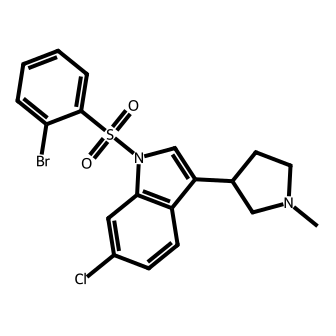 CN1CCC(c2cn(S(=O)(=O)c3ccccc3Br)c3cc(Cl)ccc23)C1